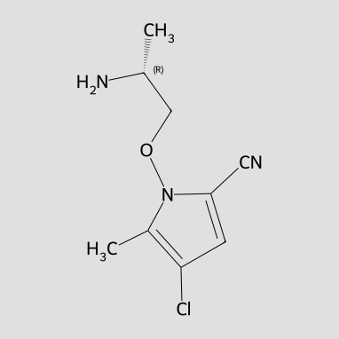 Cc1c(Cl)cc(C#N)n1OC[C@@H](C)N